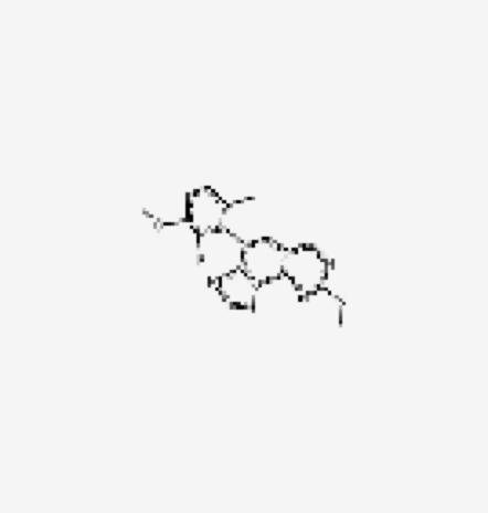 COc1ccc(C)c(-c2cc3cnc(SC)nc3n3cnnc23)c1F